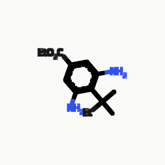 CCOC(=O)c1cc(N)c(C(C)(C)CC)c(N)c1